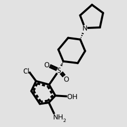 Nc1ccc(Cl)c(S(=O)(=O)[C@H]2CC[C@@H](N3CCCC3)CC2)c1O